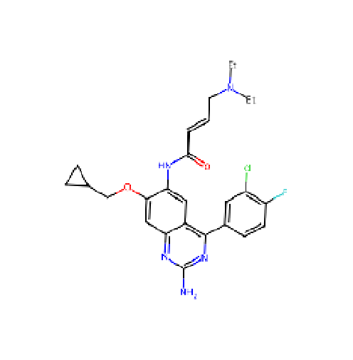 CCN(CC)CC=CC(=O)Nc1cc2c(-c3ccc(F)c(Cl)c3)nc(N)nc2cc1OCC1CC1